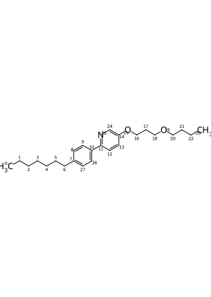 CCCCCCCc1ccc(-c2ccc(OCCCOCCCC)cn2)cc1